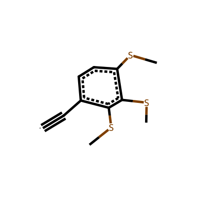 [C]#Cc1ccc(SC)c(SC)c1SC